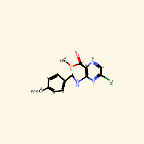 COc1ccc(CNc2nc(Cl)cnc2C(=O)OC(C)(C)C)cc1